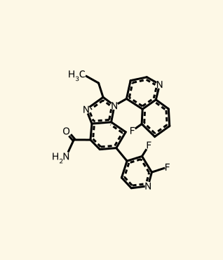 CCc1nc2c(C(N)=O)cc(-c3ccnc(F)c3F)cc2n1-c1ccnc2cccc(F)c12